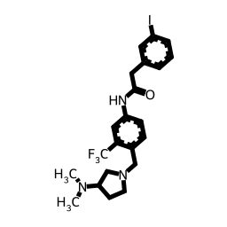 CN(C)C1CCN(Cc2ccc(NC(=O)Cc3cccc(I)c3)cc2C(F)(F)F)C1